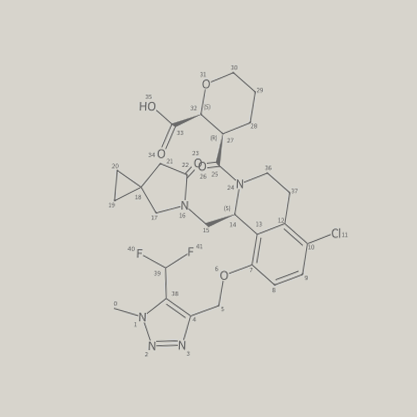 Cn1nnc(COc2ccc(Cl)c3c2[C@@H](CN2CC4(CC4)CC2=O)N(C(=O)[C@@H]2CCCO[C@@H]2C(=O)O)CC3)c1C(F)F